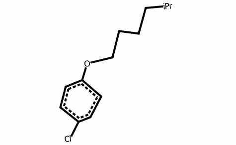 CC(C)CCCCOc1ccc(Cl)cc1